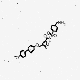 COc1ccc(-c2ccc(OCc3cc(C(=O)NS(=O)(=O)c4ccc(CN)cc4)oc3C)cc2)cc1